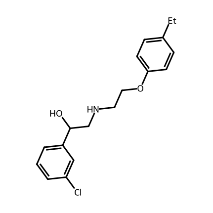 [CH2]Cc1ccc(OCCNCC(O)c2cccc(Cl)c2)cc1